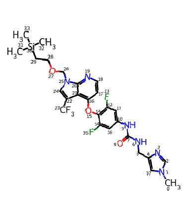 Cn1cnc(CNC(=O)Nc2cc(F)c(Oc3ccnc4c3c(C(F)(F)F)cn4COCC[Si](C)(C)C)c(F)c2)c1